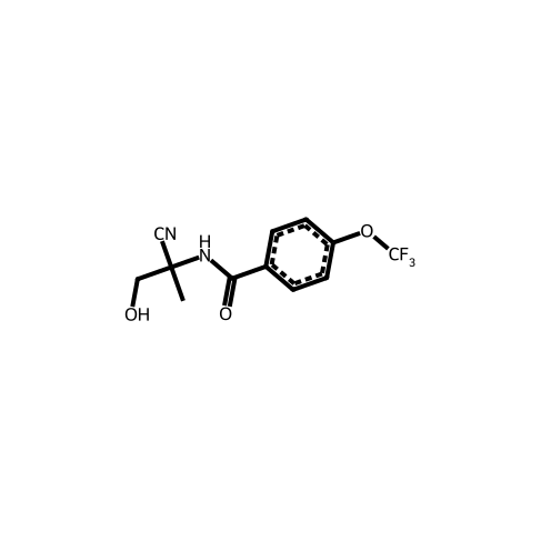 CC(C#N)(CO)NC(=O)c1ccc(OC(F)(F)F)cc1